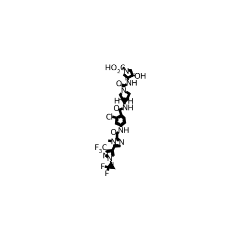 Cn1c(-c2cn([C@H]3CC3(F)F)nc2C(F)(F)F)cnc1C(=O)Nc1ccc(C(=O)NC2[C@H]3CN(C(=O)N[C@H]4CN(C(=O)O)C[C@@H]4O)C[C@@H]23)c(Cl)c1